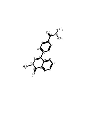 CN(C)C(=O)c1ccc(-c2nn(N)c(=O)c3ccccc23)cc1